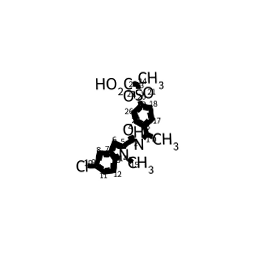 CC(NC(=O)c1cc2cc(Cl)ccc2n1C)c1ccc(S(=O)(=O)C(C)C(=O)O)cc1